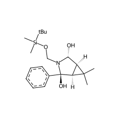 CC1(C)[C@@H]2[C@@H](O)N(CO[Si](C)(C)C(C)(C)C)[C@@](O)(c3ccccc3)[C@@H]21